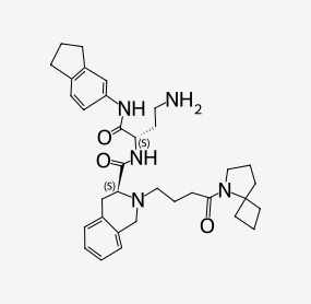 NCC[C@H](NC(=O)[C@@H]1Cc2ccccc2CN1CCCC(=O)N1CCCC12CCC2)C(=O)Nc1ccc2c(c1)CCC2